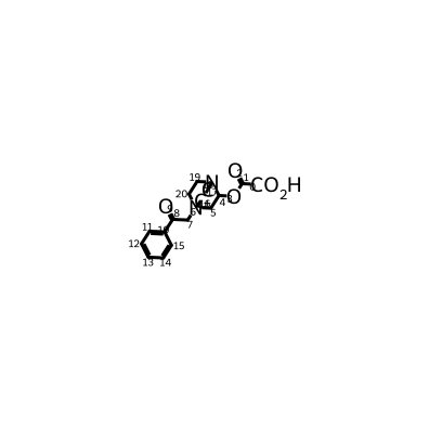 O=C(O)C(=O)OC1C[N+]2(CC(=O)c3ccccc3)CCN1CC2